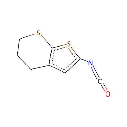 O=C=Nc1cc2c(s1)SCCC2